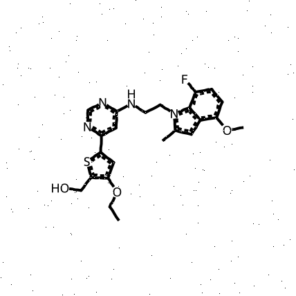 CCOc1cc(-c2cc(NCCn3c(C)cc4c(OC)ccc(F)c43)ncn2)sc1CO